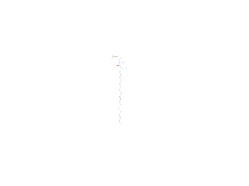 CCCCCCCCCCCCCCCCCCNC(=O)NS(=O)(=O)CC(C)Cl